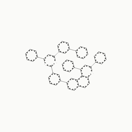 c1ccc(-c2cccc(-c3cc(-c4ccccc4)nc(-c4cccc(-c5ccc6ccc7nc(-c8ccccc8)cc(-c8ccccc8)c7c6c5)c4)n3)c2)cc1